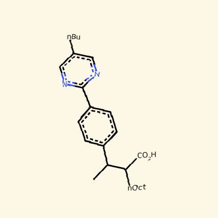 CCCCCCCCC(C(=O)O)C(C)c1ccc(-c2ncc(CCCC)cn2)cc1